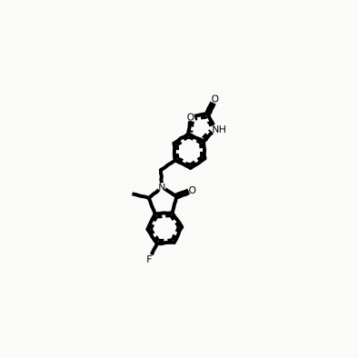 CC1c2cc(F)ccc2C(=O)N1Cc1ccc2[nH]c(=O)oc2c1